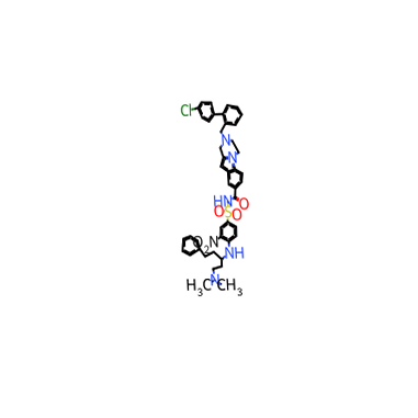 CN(C)CCC(CCc1ccccc1)Nc1ccc(S(=O)(=O)NC(=O)c2ccc3c(c2)cc2n3CCN(Cc3ccccc3-c3ccc(Cl)cc3)C2)cc1[N+](=O)[O-]